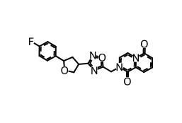 O=c1c2cccc(=O)n2ccn1Cc1nc(C2COC(c3ccc(F)cc3)C2)no1